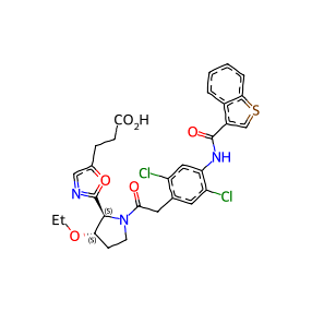 CCO[C@H]1CCN(C(=O)Cc2cc(Cl)c(NC(=O)c3csc4ccccc34)cc2Cl)[C@@H]1c1ncc(CCC(=O)O)o1